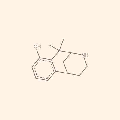 CC1(C)c2c(O)cccc2C2CCNC1C2